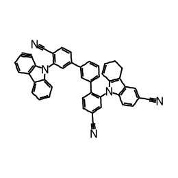 N#Cc1ccc(-c2cccc(-c3ccc(C#N)c(-n4c5c#cccc5c5ccccc54)c3)c2)c(-n2c3c(c4cc(C#N)ccc42)CCC=C3)c1